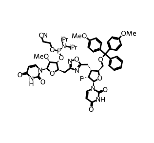 COc1ccc(C(OC[C@H]2O[C@@H](n3ccc(=O)[nH]c3=O)[C@H](F)[C@@H]2Cc2nc(C[C@H]3O[C@@H](n4ccc(=O)[nH]c4=O)[C@H](OC)[C@@H]3OP(OCCC#N)N(C(C)C)C(C)C)no2)(c2ccccc2)c2ccc(OC)cc2)cc1